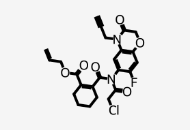 C#CCN1C(=O)COc2cc(F)c(N(C(=O)CCl)C(=O)C3=C(C(=O)OCC=C)CCCC3)cc21